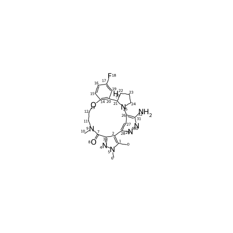 Cc1c2c(nn1C)C(=O)N(C)CCOc1ccc(F)cc1[C@H]1CCCN1c1cc-2nnc1N